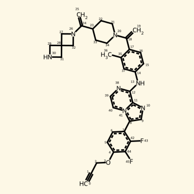 C#CCOc1ccc(-c2cnc3c(Nc4ccc(C(=C)N5CCC(C(=C)N6CC7(CNC7)C6)CC5)c(C)c4)nccn23)c(F)c1F